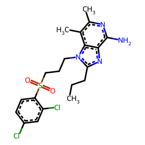 CCCc1nc2c(N)nc(C)c(C)c2n1CCCS(=O)(=O)c1ccc(Cl)cc1Cl